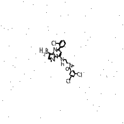 Bc1cnn2c(NCCCN(C)C(=O)c3cc(Cl)cc(Cl)c3)cc(-c3ccccc3Cl)nc12